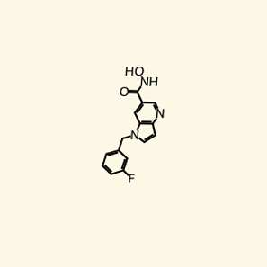 O=C(NO)c1cnc2ccn(Cc3cccc(F)c3)c2c1